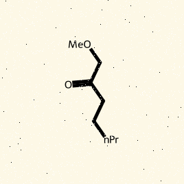 CCCCCC(=O)COC